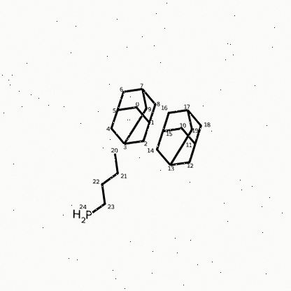 C1C2CC3CC1CC(C2)C3.C1C2CC3CC1CC(C2)C3.CCCCP